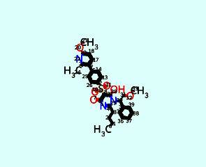 CCCCc1nc(=O)c(S(=O)(=O)c2ccc(-c3ccc(OC)nc3C)cc2)c(O)n1[C@@H](COC)c1ccccc1